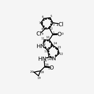 O=C(c1c(Cl)cccc1Cl)c1c[nH]c2c(NC(=O)C3CC3)nccc12